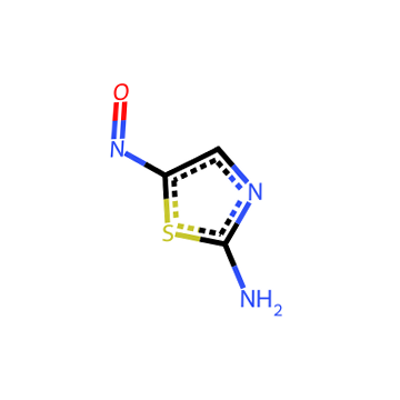 Nc1ncc(N=O)s1